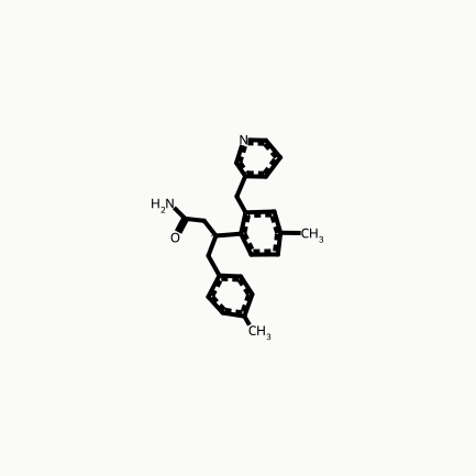 Cc1ccc(C[C](CC(N)=O)c2ccc(C)cc2Cc2cccnc2)cc1